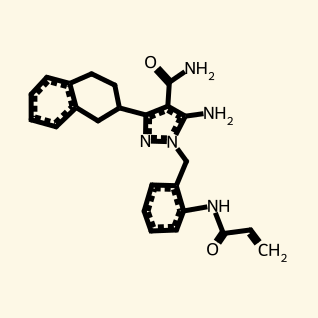 C=CC(=O)Nc1ccccc1Cn1nc(C2CCc3ccccc3C2)c(C(N)=O)c1N